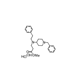 COC(=O)CCN(CCc1ccccc1)C1CCN(Cc2ccccc2)CC1.Cl.Cl